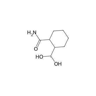 NC(=O)C1CCCCC1[C](O)O